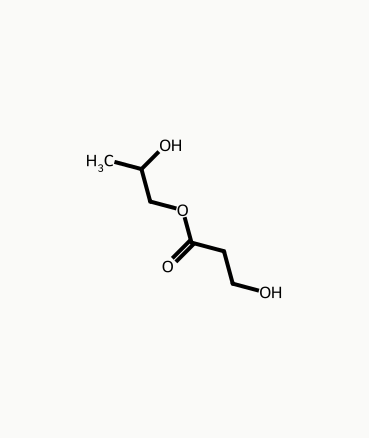 CC(O)COC(=O)CCO